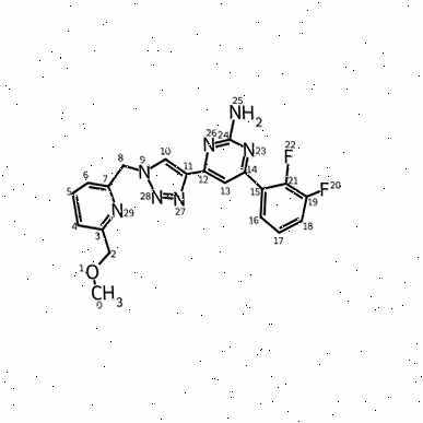 COCc1cccc(Cn2cc(-c3cc(-c4cccc(F)c4F)nc(N)n3)nn2)n1